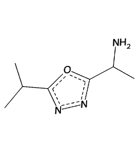 CC(C)c1nnc(C(C)N)o1